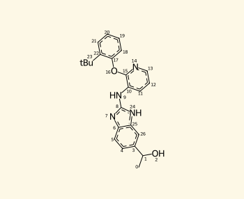 CC(O)c1ccc2nc(Nc3cccnc3Oc3ccccc3C(C)(C)C)[nH]c2c1